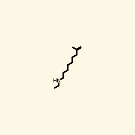 C=C(C)CCCCCCCNCC